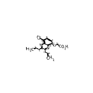 C=CCc1nc2c(Cl)ccc(OCC(=O)O)c2nc1CC=C